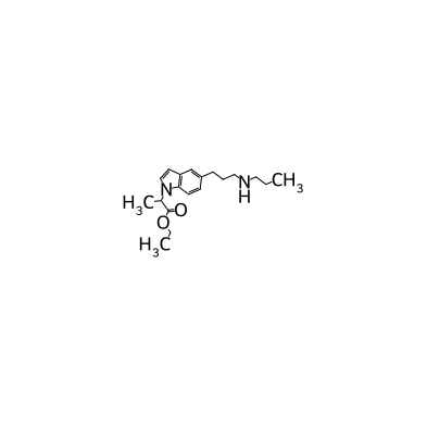 CCCNCCCc1ccc2c(ccn2C(C)C(=O)OCC)c1